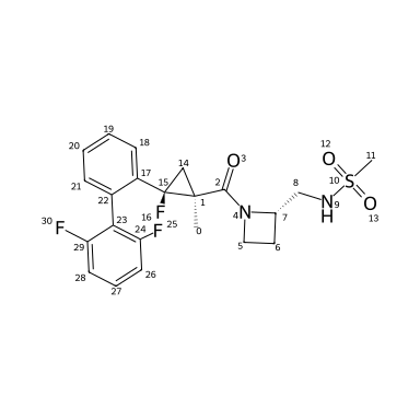 C[C@@]1(C(=O)N2CC[C@H]2CNS(C)(=O)=O)C[C@@]1(F)c1ccccc1-c1c(F)cccc1F